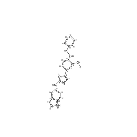 COc1cc(-c2cnc(Nc3ccc4[nH]ncc4c3)o2)ccc1OCc1ccccc1